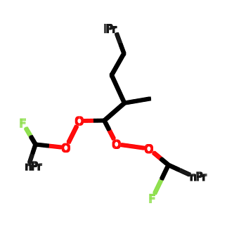 CCCC(F)OOC(OOC(F)CCC)C(C)CCC(C)C